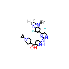 Cc1nc2c(F)cc(-c3nc(Nc4ccc([C@@H](O)C5CCN(C6CC6)CC5)cn4)ncc3F)cc2n1C(C)C